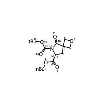 CCCCOC(=O)[C@@H]1CC2(COC2)C(=O)N1C(=O)OC(C)(C)C